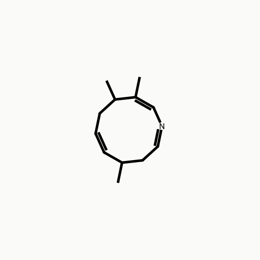 C/C1=C/N=C\CC(C)/C=C\CC1C